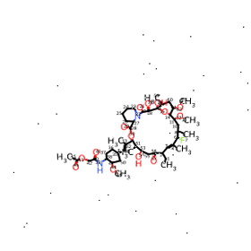 CCC1/C=C(\C)C(F)C(C)CC(OC)C2OC(O)(C(=O)C(=O)N3CCCCC3C(=O)OC(C(C)=CC3CCC(NC(=O)COC(C)=O)C(OC)C3)C(C)C(O)CC1=O)C(C)CC2OC